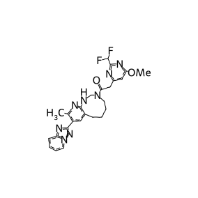 COc1cc(CC(=O)N2CCCCc3cc(-c4nc5ccccn5n4)c(C)nc3NC2)nc(C(F)F)n1